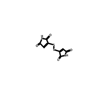 O=C1C=C(SSC2=CC(=O)NC2=O)C(=O)N1